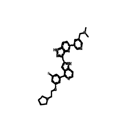 CN(C)Cc1cncc(-c2ccc3[nH]nc(-c4cc5c(-c6cc(F)cc(OCCN7CCCC7)c6)nccc5[nH]4)c3n2)c1